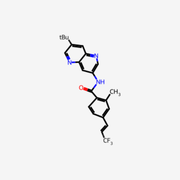 Cc1cc(/C=C/C(F)(F)F)ccc1C(=O)Nc1cnc2cc(C(C)(C)C)cnc2c1